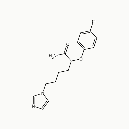 NC(=O)C(CCCCn1ccnc1)Oc1ccc(Cl)cc1